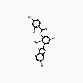 Cc1c(NC(=O)c2ccc(C#N)cc2Cl)cc(F)cc1-c1nc2ncc(Br)cc2o1